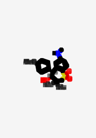 CCCCC1(CCCC)CS(=O)(=O)c2ccc(N(C)C)cc2[C@@H](c2ccc(OC)cc2)[C@H]1O